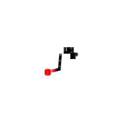 CC[O-].[K+].[LiH]